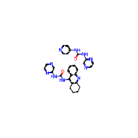 O=C(Nc1ccncc1)Nc1cnccn1.O=C(Nc1cnccn1)Nc1c2c(nc3ccccc13)CCCC2